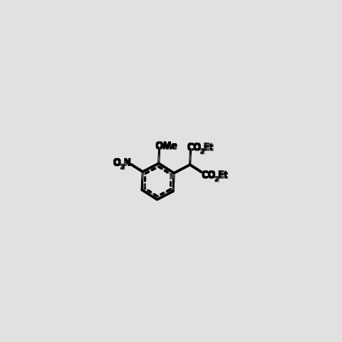 CCOC(=O)C(C(=O)OCC)c1cccc([N+](=O)[O-])c1OC